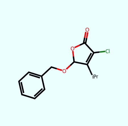 CC(C)C1=C(Cl)C(=O)OC1OCc1ccccc1